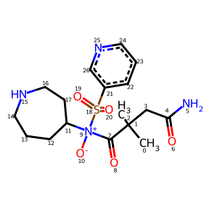 CC(C)(CC(N)=O)C(=O)[N+]([O-])(C1CCCNCC1)S(=O)(=O)c1cccnc1